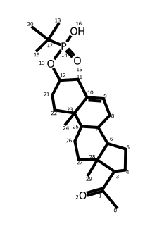 CC(=O)C1CCC2C3CC=C4CC(OP(=O)(O)C(C)(C)C)CCC4(C)C3CCC12C